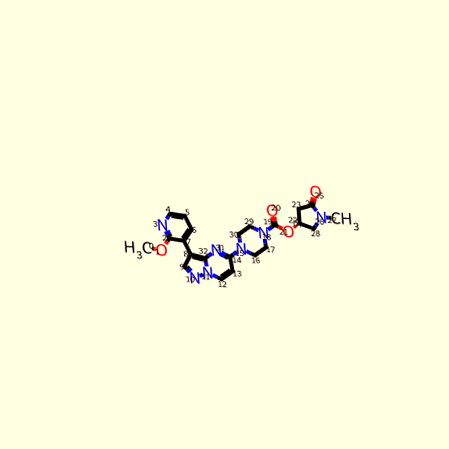 COc1ncccc1-c1cnn2ccc(N3CCN(C(=O)O[C@H]4CC(=O)N(C)C4)CC3)nc12